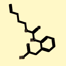 C=CCCCOC(=O)Nc1ccccc1CC(=O)O